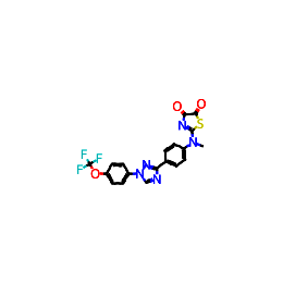 CN(C1=NC(=O)C(=O)S1)c1ccc(-c2ncn(-c3ccc(OC(F)(F)F)cc3)n2)cc1